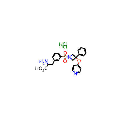 Cl.Cl.NC(Cc1cccc(S(=O)(=O)N2CC(Oc3ccncc3)(c3ccccc3)C2)c1)C(=O)O